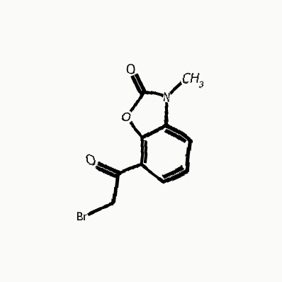 Cn1c(=O)oc2c(C(=O)CBr)cccc21